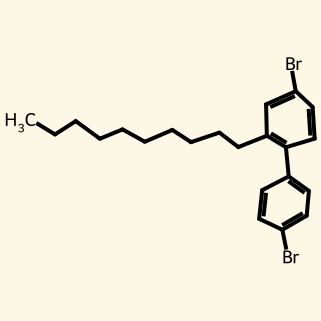 CCCCCCCCCCc1cc(Br)ccc1-c1ccc(Br)cc1